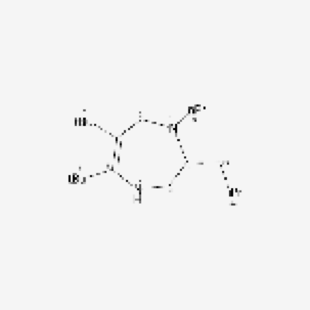 CCCN1CC(C(C)(C)C)=C(C(C)(C)C)NC[C@H]1CC(C)C